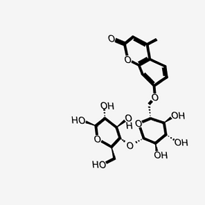 Cc1cc(=O)oc2cc(OC[C@H]3O[C@@H](O[C@H]4[C@H](O)[C@@H](O)[C@H](O)O[C@@H]4CO)[C@H](O)[C@@H](O)[C@@H]3O)ccc12